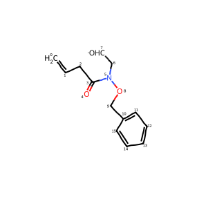 C=CCC(=O)N(C[C]=O)OCc1ccccc1